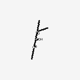 CCCCCCCCCCCOC(=O)CCCCCN(CCO)CCCCCC(=O)OC(CCCCCCCCCC)CCCCCCCCCC